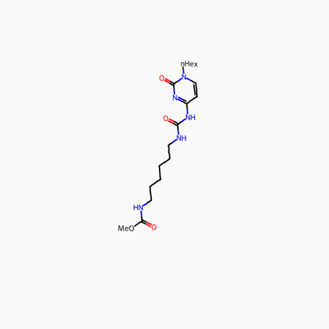 CCCCCCn1ccc(NC(=O)NCCCCCCNC(=O)OC)nc1=O